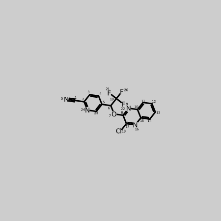 N#Cc1ccc(C(Oc2nc3ccccc3nc2Cl)C(F)(F)F)cn1